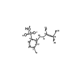 Cc1ccc(S(=O)(=O)O)c(CCC(F)=C(F)F)c1